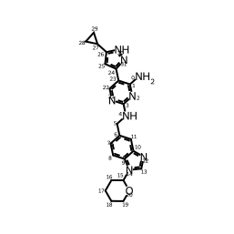 Nc1nc(NCc2ccc3c(c2)ncn3C2CCCCO2)ncc1-c1cc(C2CC2)[nH]n1